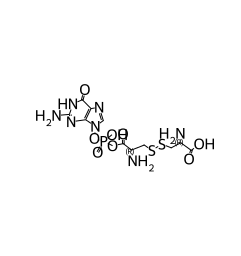 Nc1nc2c(ncn2OP(=O)(O)OC(=O)[C@@H](N)CSSC[C@H](N)C(=O)O)c(=O)[nH]1